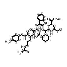 COC(=O)CC[C@H](NC(=O)CCl)C(=O)N1CCCC[C@H]1C(=O)N[C@@H](Cc1c[nH]c2ccccc12)C(=O)N[C@@H](CCCNC(N)=O)C(=O)NCc1ccc(C)cc1